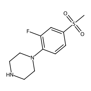 CS(=O)(=O)c1ccc(N2CCNCC2)c(F)c1